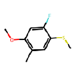 COc1cc(F)c(SC)cc1C